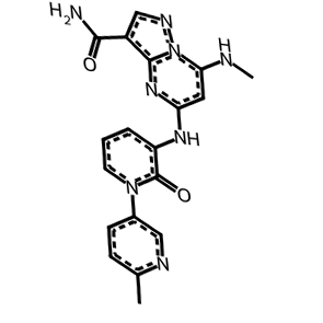 CNc1cc(Nc2cccn(-c3ccc(C)nc3)c2=O)nc2c(C(N)=O)cnn12